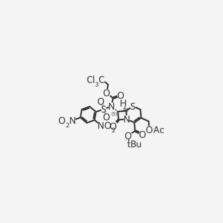 CC(=O)OCC1=C(C(=O)OC(C)(C)C)N2C(=O)[C@H](N(C(=O)OCC(Cl)(Cl)Cl)S(=O)(=O)c3ccc([N+](=O)[O-])cc3[N+](=O)[O-])[C@H]2SC1